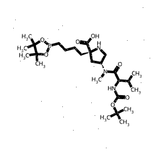 CC(C)C(NC(=O)OC(C)(C)C)C(=O)N(C)[C@H]1CN[C@@](CCCCB2OC(C)(C)C(C)(C)O2)(C(=O)O)C1